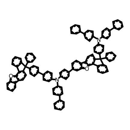 c1ccc(-c2ccc(N(c3ccc(-c4ccc(C5(c6ccccc6)c6ccccc6-c6c5ccc5c6oc6ccccc65)cc4)cc3)c3ccc(-c4ccc5c(c4)oc4c6c(ccc45)C(c4ccccc4)(c4ccc(N(c5ccc(-c7ccccc7)cc5)c5ccc(-c7ccccc7)cc5)cc4)c4ccccc4-6)cc3)cc2)cc1